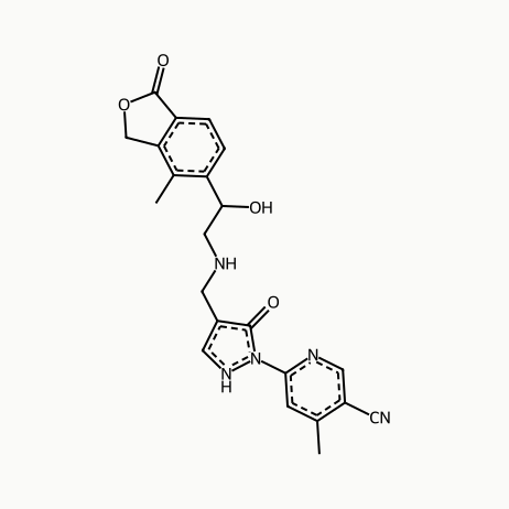 Cc1cc(-n2[nH]cc(CNCC(O)c3ccc4c(c3C)COC4=O)c2=O)ncc1C#N